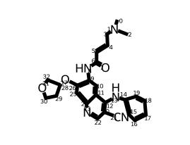 CN(C)C/C=C/C(=O)Nc1cc2c(Nc3ccccc3)c(C#N)cnc2cc1OC1CCOC1